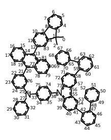 CC1(C)c2ccccc2-c2ccc(-c3c4ccccc4c(-c4cccc(N(c5ccccc5)c5ccc(-n6c7ccc(-c8ccccc8-c8ccccc8)cc7c7cc(-c8ccccc8-c8ccccc8)ccc76)cc5)c4)c4ccccc34)cc21